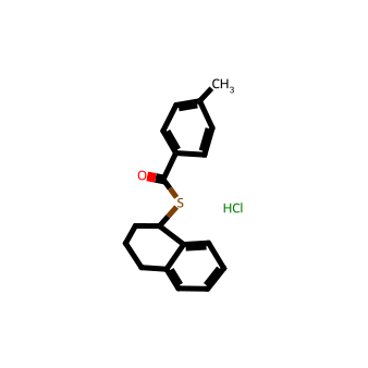 Cc1ccc(C(=O)SC2CCCc3ccccc32)cc1.Cl